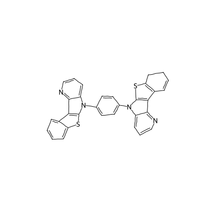 C1=Cc2c(sc3c2c2ncccc2n3-c2ccc(-n3c4cccnc4c4c5ccccc5sc43)cc2)CC1